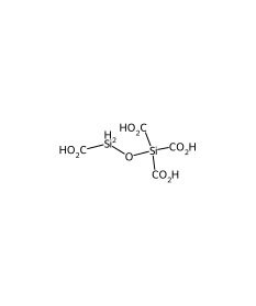 O=C(O)[SiH2]O[Si](C(=O)O)(C(=O)O)C(=O)O